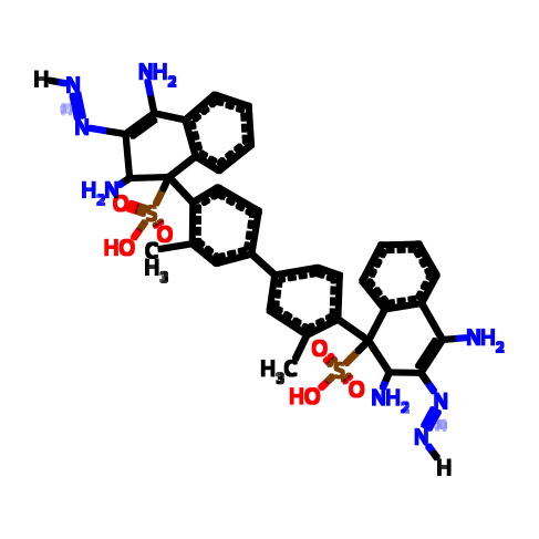 [H]/N=N/C1=C(N)c2ccccc2C(c2ccc(-c3ccc(C4(S(=O)(=O)O)c5ccccc5C(N)=C(/N=N/[H])C4N)c(C)c3)cc2C)(S(=O)(=O)O)C1N